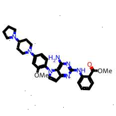 COC(=O)c1ccccc1Nc1nc(N)c2c(ccn2-c2ccc(N3CCC(N4CCCC4)CC3)cc2OC)n1